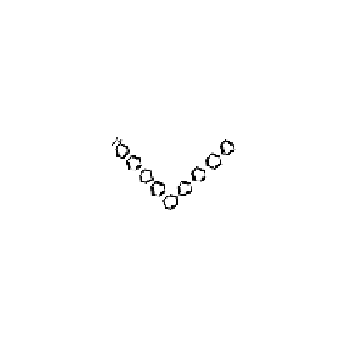 CC(C)=O.c1ccccc1.c1ccccc1.c1ccccc1.c1ccccc1.c1ccccc1.c1ccccc1.c1ccccc1.c1ccccc1.c1ccccc1